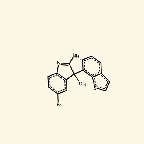 NC1=Nc2ccc(Br)cc2C1(O)c1cccc2ccsc12